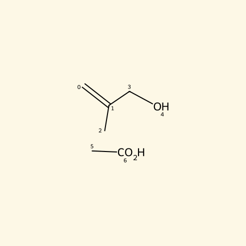 C=C(C)CO.CC(=O)O